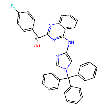 O[C@H](c1ccc(F)cc1)c1nc(Nc2cn(C(c3ccccc3)(c3ccccc3)c3ccccc3)cn2)c2ccccc2n1